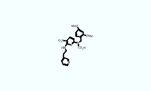 COc1ccc(CN(C(=O)O)c2ccc([N+](=O)[O-])c(NCCc3cccnc3)n2)c(OC)c1